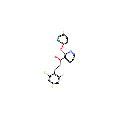 OC(CCc1c(F)cc(F)cc1F)c1cccnc1Oc1ccc(F)cc1